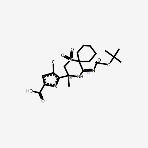 CC(C)(C)OC(=O)/N=C1/N[C@](C)(c2sc(C(=O)O)cc2Cl)CS(=O)(=O)C12CCCCC2